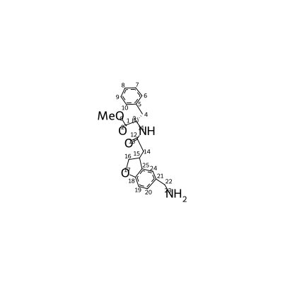 COC(=O)[C@H](Cc1ccccc1)NC(=O)CC1COc2ccc(CN)cc21